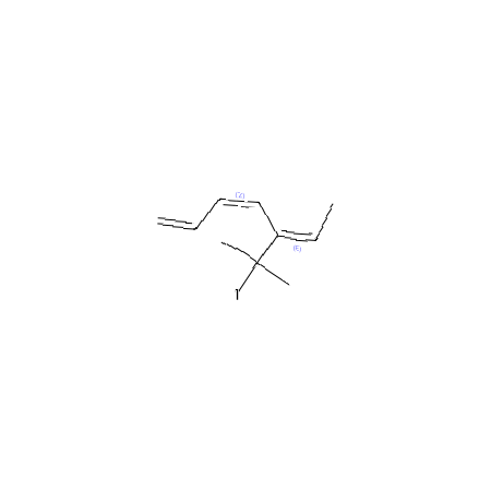 C=C/C=C\C(=C/C)C(C)(C)I